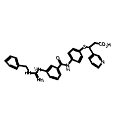 N=C(NCc1ccccc1)Nc1cccc(C(=O)Nc2ccc(SC(CC(=O)O)c3cccnc3)cc2)c1